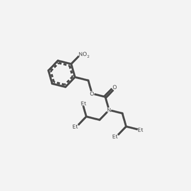 CCC(CC)CN(CC(CC)CC)C(=O)OCc1ccccc1[N+](=O)[O-]